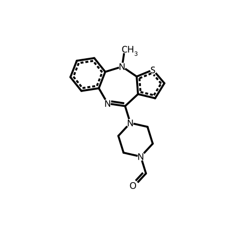 CN1c2ccccc2N=C(N2CCN(C=O)CC2)c2ccsc21